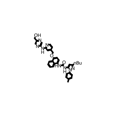 CCCCc1cc(NC(=O)Nc2ccc(OCc3ccnc(Nc4cnc(CO)cn4)c3)c3ccccc23)n(-c2ccc(C)cc2)n1